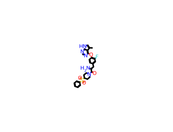 Cc1c[nH]c2ncnc(Oc3ccc(C[C@H](N)C(=O)N4CCC(S(=O)(=O)c5ccccc5)CC4)cc3F)c12